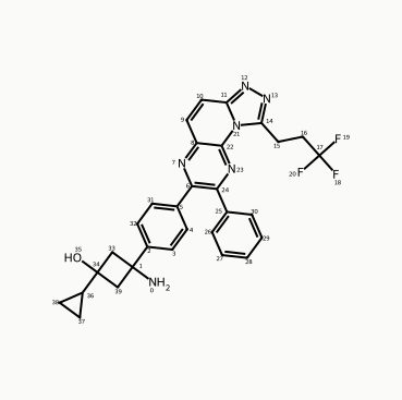 NC1(c2ccc(-c3nc4ccc5nnc(CCC(F)(F)F)n5c4nc3-c3ccccc3)cc2)CC(O)(C2CC2)C1